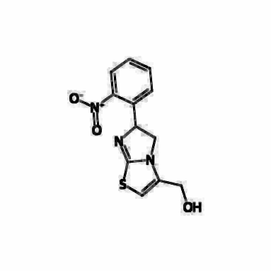 O=[N+]([O-])c1ccccc1C1CN2C(CO)=CSC2=N1